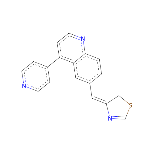 C1=N/C(=C/c2ccc3nccc(-c4ccncc4)c3c2)CS1